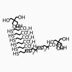 O=C(O)CCS.O=C(O)CCS.O=C(O)CCS.O=C(O)CCS.O=C(O)CCS.O=C(O)CCS.O=C(O)CCS.O=C(O)CCS.OCC(CO)(CO)CO.OCC(CO)(CO)CO